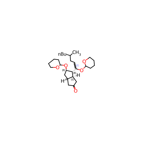 CCCCC(C)C/C=C(/OC1CCCCO1)[C@@H]1[C@H]2CC(=O)C[C@H]2C[C@H]1OC1CCCCO1